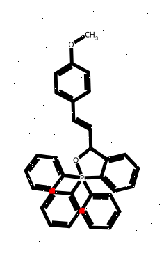 COc1ccc(C=CC2OP(c3ccccc3)(c3ccccc3)(c3ccccc3)c3ccccc32)cc1